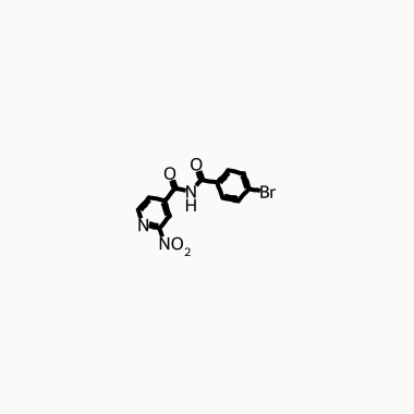 O=C(NC(=O)c1ccnc([N+](=O)[O-])c1)c1ccc(Br)cc1